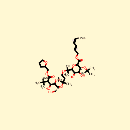 CO/C=C\C=C\COC(=O)C1OC(C(C)(C)OCCC(C)(C)O[C@H](CO)C(O)C(O)C(C(=O)OCC2CCCO2)C(C)(C)OC)C(O)C(O)[C@@H]1OC(C)(C)C(C)C